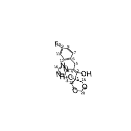 CC1(C(O)=C(Cc2ccc(F)cc2)n2cncn2)COCOC1